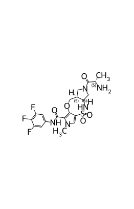 C[C@H](N)C(=O)N1C[C@@H]2COc3c(cn(C)c3C(=O)Nc3cc(F)c(F)c(F)c3)S(=O)(=O)N[C@@H]2C1